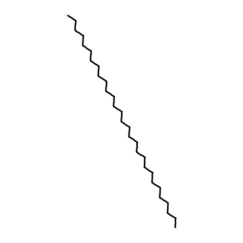 [CH]CCCCCCCCCCCCCCCCCCCCCCCCCCC[CH2]